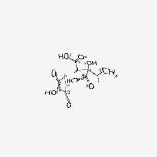 CCC(O)(CC(=O)O)C(=O)O.O=C1CCC(=O)N1O